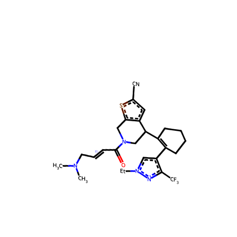 CCn1cc(C2=C(C3CN(C(=O)/C=C/CN(C)C)Cc4sc(C#N)cc43)CCCC2)c(C(F)(F)F)n1